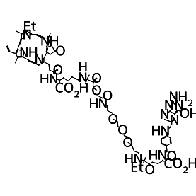 C=Cc1c(C)c2cc3nc(c4c5[nH]c(cc6nc(cc1[nH]2)C(C)=C6CC)c(C)c5C(=O)C4)[C@@H](CCC(=O)NC(CCCCNC(C)(C)C(=O)COCC(=O)NCCCOCCOCCOCCCNC(C)(CC)C(=O)CC[C@H](NC(=O)c1ccc(NCc2cnc4nc(N)nc(O)c4n2)cc1)C(=O)O)C(=O)O)[C@@H]3C